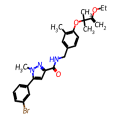 C=C(OCC)C(C)(C)Oc1ccc(CNC(=O)c2cc(-c3cccc(Br)c3)n(C)n2)cc1C